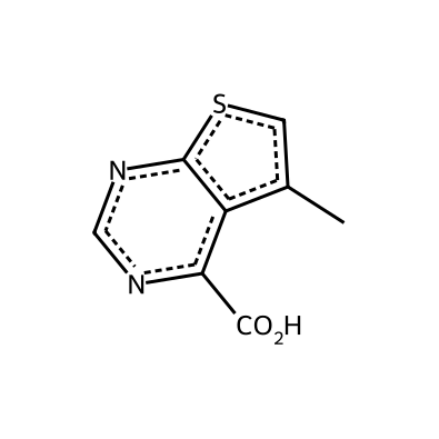 Cc1csc2ncnc(C(=O)O)c12